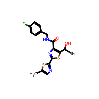 Cc1cnc(-c2nc(C(=O)NCc3ccc(F)cc3)c(C(O)C(C)C)s2)s1